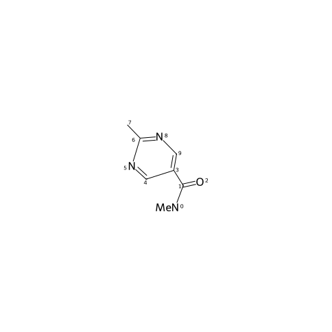 CNC(=O)c1cnc(C)nc1